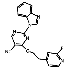 N#Cc1cnc(-n2cnc3ccccc32)nc1OCCc1ccnc(F)c1